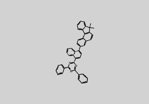 CC1(C)c2ccccc2-c2c1ccc1cc(-c3ccc(-c4nc(-c5ccccc5)nc(-c5ccccc5)n4)c4ccccc34)ccc21